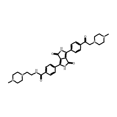 CN1CCN(CCNC(=O)c2ccc(C3=C4C(=O)NC(c5ccc(C(=O)CN6CCN(C)CC6)cc5)=C4C(=O)N3)cc2)CC1